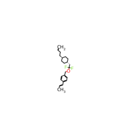 C=CCC[C@H]1CC[C@H](CC(F)(F)OCc2ccc(C=CC)cc2)CC1